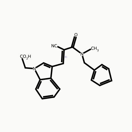 CN(Cc1ccccc1)C(=O)/C(C#N)=C/c1cn(CC(=O)O)c2ccccc12